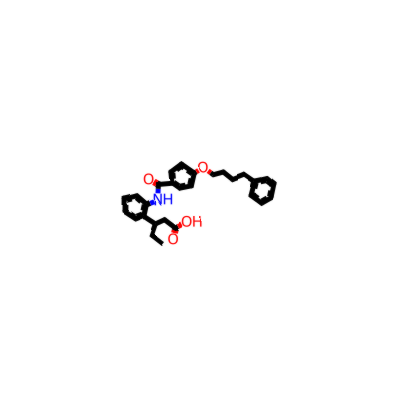 CCC(CC(=O)O)c1ccccc1NC(=O)c1ccc(OCCCCc2ccccc2)cc1